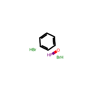 Br.Br.O=P.c1ccccc1